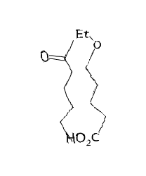 CCCCCC(C)=O.CCOCCCCC(=O)O